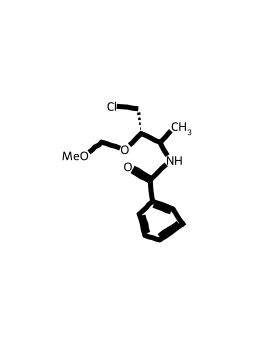 COCO[C@H](CCl)[C](C)NC(=O)c1ccccc1